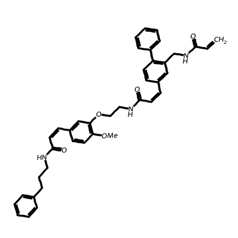 C=CC(=O)NCc1cc(/C=C\C(=O)NCCOc2cc(/C=C\C(=O)NCCCc3ccccc3)ccc2OC)ccc1-c1ccccc1